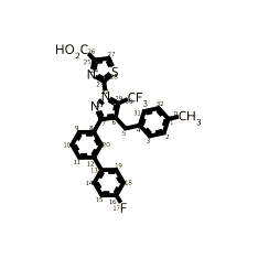 Cc1ccc(Cc2c(-c3cccc(-c4ccc(F)cc4)c3)nn(-c3nc(C(=O)O)cs3)c2C(F)(F)F)cc1